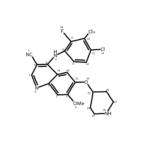 COc1cc2ncc(C#N)c(Nc3ccc(Cl)c(Cl)c3F)c2cc1OC1CCNCC1